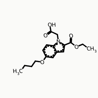 CCCCOc1ccc2c(c1)cc(C(=O)OCC)n2CC(=O)O